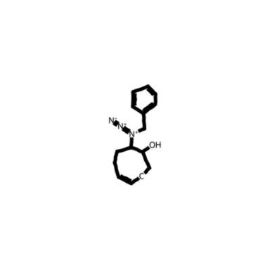 [N-]=[N+]=[N+](Cc1ccccc1)C1CC/C=C\CCC1O